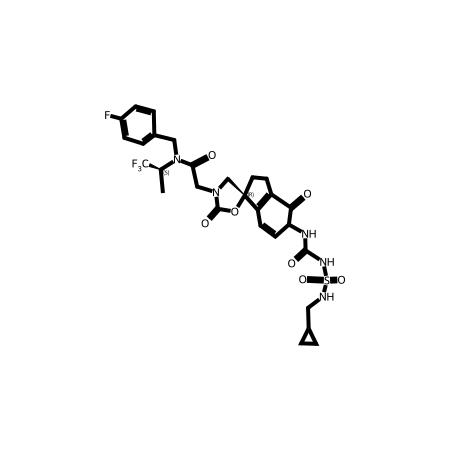 C[C@H](N(Cc1ccc(F)cc1)C(=O)CN1C[C@]2(CCC3=C2C=CC(NC(=O)NS(=O)(=O)NCC2CC2)C3=O)OC1=O)C(F)(F)F